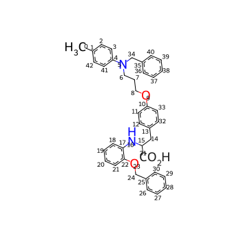 Cc1ccc(N(CCCOc2ccc(CC(Nc3ccccc3OCc3ccccc3)C(=O)O)cc2)Cc2ccccc2)cc1